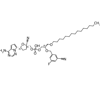 CCCCCCCCCCCCCCCOC[C@H](COP(=O)(O)OC[C@]1(C#N)CC[C@H](c2ccc3c(N)ncnn23)O1)OCc1cc(F)cc(C#N)c1